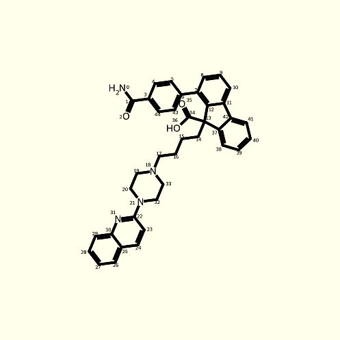 NC(=O)c1ccc(-c2cccc3c2C(CCCCN2CCN(c4ccc5ccccc5n4)CC2)(C(=O)O)c2ccccc2-3)cc1